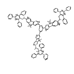 CC(Cc1c(-c2ccccc2)nc(-c2ccccc2)nc1-c1ccccc1)c1cc2c(cn1)-c1cnc(-c3cc(-c4cc5c(cn4)-c4cnc(C(C)Cc6c(-c7ccccc7)nc(-c7ccccc7)nc6-c6ccccc6)cc4[Si]5(C)C)cc(-c4cc5c(cn4)-c4cnc(C(C)CC6(C)C(c7ccccc7)=NC(c7ccccc7)=CN6c6ccccc6)cc4[Si]5(C)C)c3)cc1[Si]2(C)C